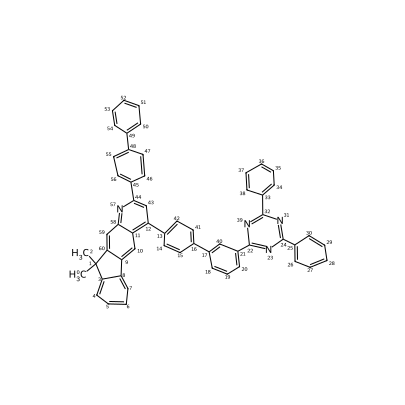 CC1(C)c2ccccc2-c2cc3c(-c4ccc(-c5cccc(-c6nc(-c7ccccc7)nc(-c7ccccc7)n6)c5)cc4)cc(-c4ccc(-c5ccccc5)cc4)nc3cc21